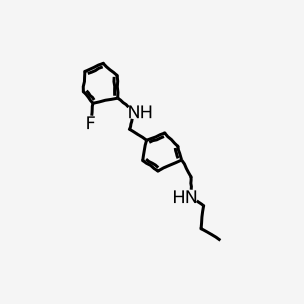 CCCNCc1ccc(CNc2ccccc2F)cc1